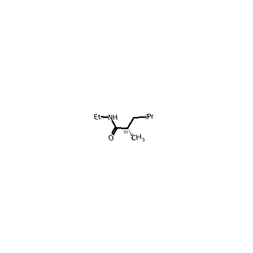 CCNC(=O)[C@@H](C)CC(C)C